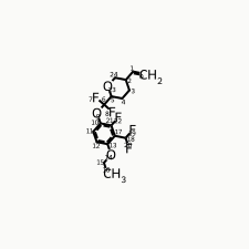 C=CC1CCC(C(F)(F)Oc2ccc(OCC)c(C(F)F)c2F)OC1